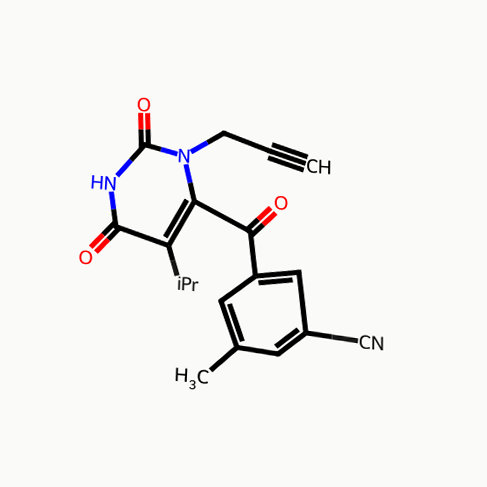 C#CCn1c(C(=O)c2cc(C)cc(C#N)c2)c(C(C)C)c(=O)[nH]c1=O